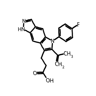 C=C(C)c1c(CCC(=O)O)c2cc3[nH]ncc3cc2n1-c1ccc(F)cc1